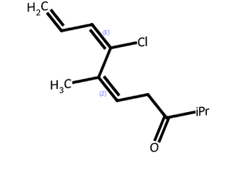 C=C/C=C(Cl)\C(C)=C/CC(=O)C(C)C